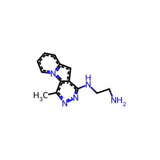 Cc1nnc(NCCN)c2cc3ccccn3c12